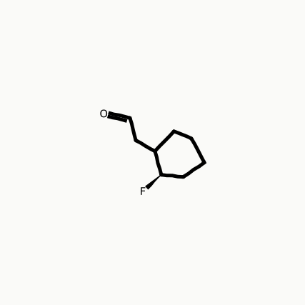 O=CCC1CCCC[C@H]1F